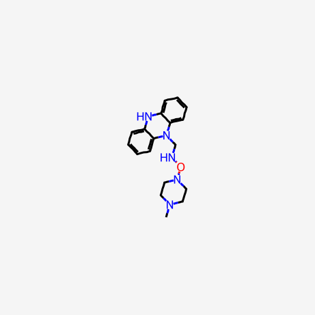 CN1CCN(ONCN2c3ccccc3Nc3ccccc32)CC1